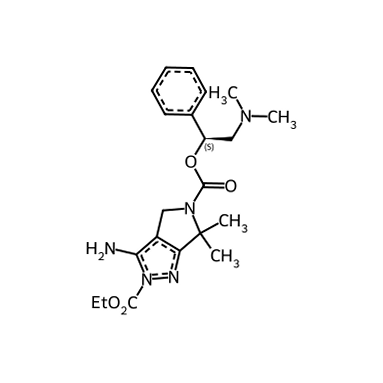 CCOC(=O)n1nc2c(c1N)CN(C(=O)O[C@H](CN(C)C)c1ccccc1)C2(C)C